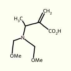 C=C(C(=O)O)C(C)N(COC)COC